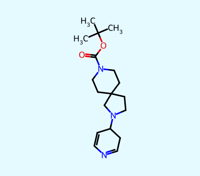 CC(C)(C)OC(=O)N1CCC2(CC1)CCN(C1C=CN=CC1)C2